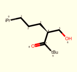 CC(C)CCC[C@@H](CO)C(=O)C(C)(C)C